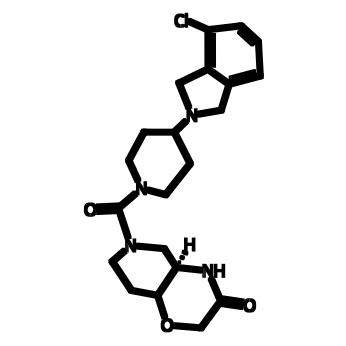 O=C1COC2CCN(C(=O)N3CCC(N4Cc5cccc(Cl)c5C4)CC3)C[C@H]2N1